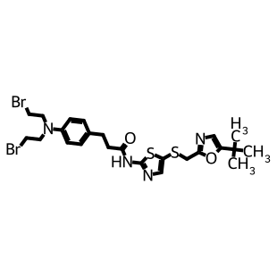 CC(C)(C)c1cnc(CSc2cnc(NC(=O)CCc3ccc(N(CCBr)CCBr)cc3)s2)o1